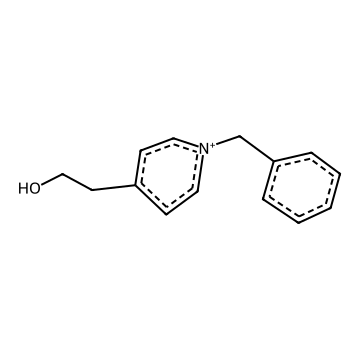 OCCc1cc[n+](Cc2ccccc2)cc1